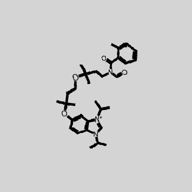 Cc1ccccc1C(=O)N(C=O)CCC(C)(C)OCCC(C)(C)Oc1ccc2c(c1)[n+](C(C)C)cn2C(C)C